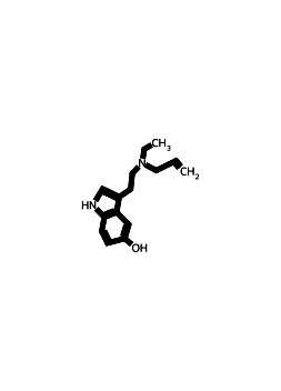 C=CCN(CC)CCc1c[nH]c2ccc(O)cc12